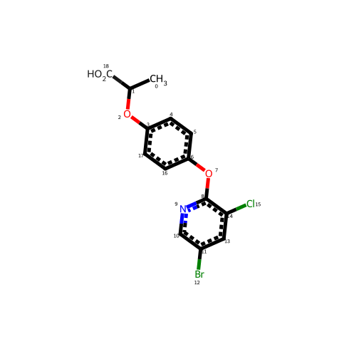 CC(Oc1ccc(Oc2ncc(Br)cc2Cl)cc1)C(=O)O